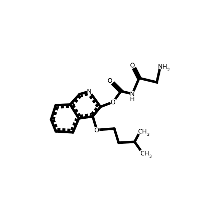 CC(C)CCOc1c(OC(=O)NC(=O)CN)ncc2ccccc12